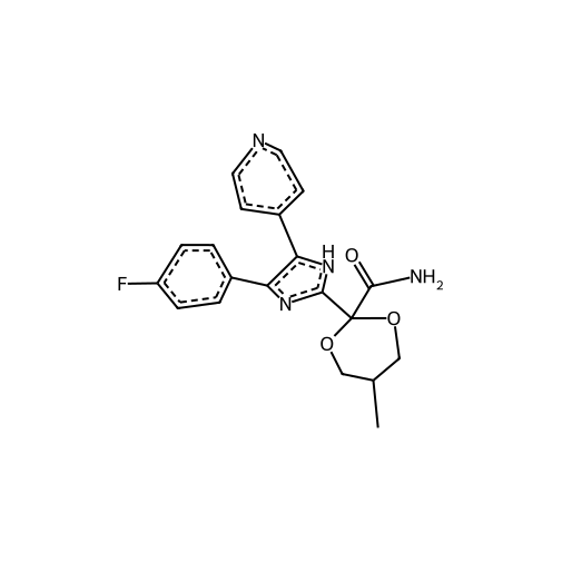 CC1COC(C(N)=O)(c2nc(-c3ccc(F)cc3)c(-c3ccncc3)[nH]2)OC1